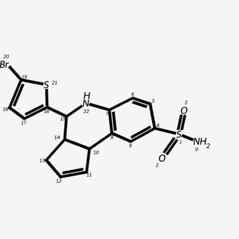 NS(=O)(=O)c1ccc2c(c1)C1C=CCC1C(c1ccc(Br)s1)N2